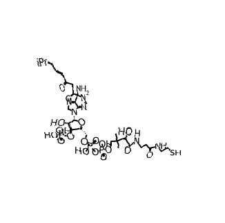 CC(C)CC=CC(=O)CC(=O)C1(N)N=CN=C2C1=NCN2[C@@H]1O[C@H](COP(=O)(O)OP(=O)(O)OCC(C)(C)[C@@H](O)C(=O)NCCC(=O)NCCS)[C@@H](OP(=O)(O)O)[C@H]1O